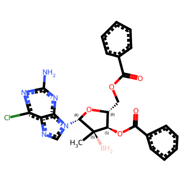 B[C@]1(C)[C@H](OC(=O)c2ccccc2)[C@@H](COC(=O)c2ccccc2)O[C@H]1n1cnc2c(Cl)nc(N)nc21